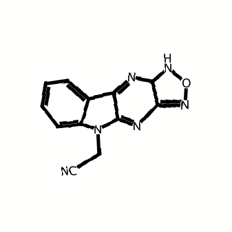 N#CCn1c2c(c3ccccc31)=NC1NON=C1N=2